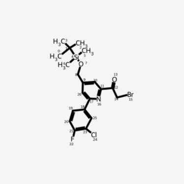 CC(C)(C)[Si](C)(C)OCc1cc(C(=O)CBr)nc(-c2ccc(F)c(Cl)c2)c1